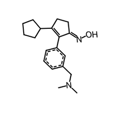 CN(C)Cc1cccc(C2=C(C3CCCC3)CCC2=NO)c1